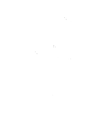 COc1cc2ncn(CC(N)=O)c(=O)c2cc1OC